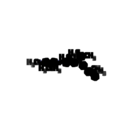 C/C=C/c1ccc2c(c1)C(C)(C)c1cc(/C=C/c3ccc4c(c3)C(C)(C)c3cc(N(c5ccc(-c6ccc7c(c6)C(C)(C)c6ccccc6-7)cc5)c5cc(C)cc(C)c5)ccc3-4)ccc1-2